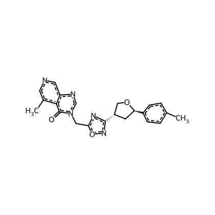 Cc1ccc([C@H]2C[C@H](c3noc(Cn4cnc5cncc(C)c5c4=O)n3)CO2)cc1